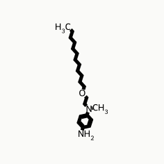 CCCCCCCCCCCCOCCN(C)c1ccc(N)cc1